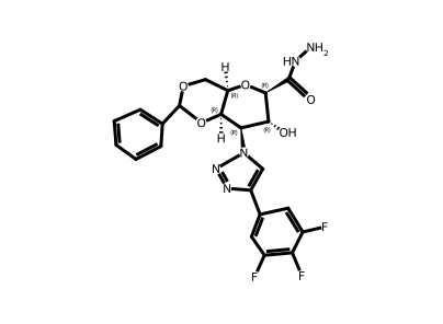 NNC(=O)[C@@H]1O[C@@H]2COC(c3ccccc3)O[C@@H]2[C@H](n2cc(-c3cc(F)c(F)c(F)c3)nn2)[C@H]1O